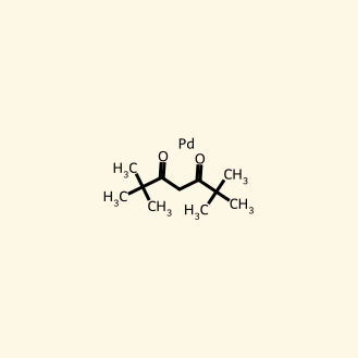 CC(C)(C)C(=O)CC(=O)C(C)(C)C.[Pd]